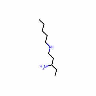 CCCCCNCCC(N)CC